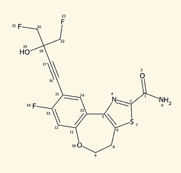 NC(=O)c1nc2c(s1)CCOc1cc(F)c(C#CC(O)(CF)CF)cc1-2